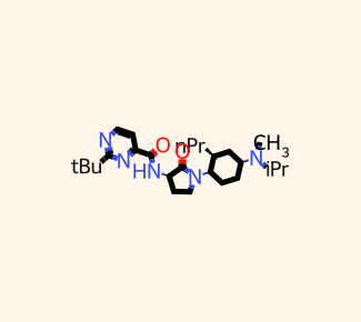 CCC[C@H]1C[C@H](N(C)C(C)C)CC[C@@H]1N1CC[C@H](NC(=O)c2ccnc(C(C)(C)C)n2)C1=O